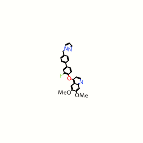 COc1cc2nccc(Oc3ccc(-c4ccc(Cn5cccn5)cc4)cc3F)c2cc1OC